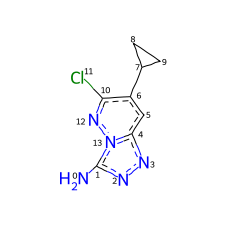 Nc1nnc2cc(C3CC3)c(Cl)nn12